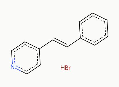 Br.C(=Cc1ccncc1)c1ccccc1